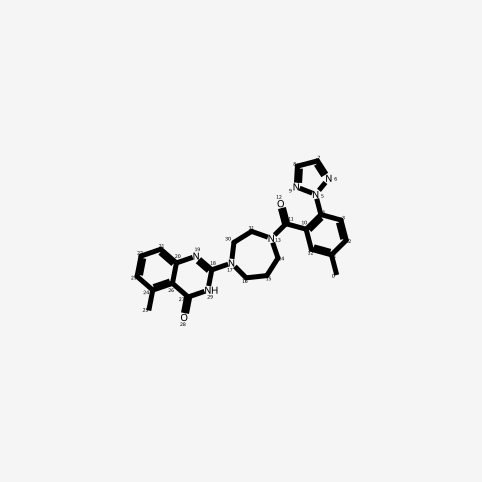 Cc1ccc(-n2nccn2)c(C(=O)N2CCCN(c3nc4cccc(C)c4c(=O)[nH]3)CC2)c1